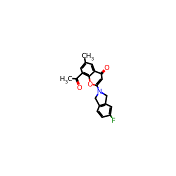 CC(=O)c1cc(C)cc2c(=O)cc(N3Cc4ccc(F)cc4C3)oc12